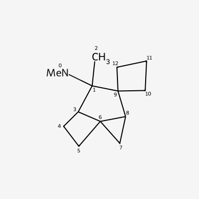 CNC1(C)C2CCC23CC3C12CCC2